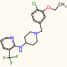 CCOc1cc(CN2CCC(Nc3ncccc3C(F)(F)F)CC2)ccc1Cl